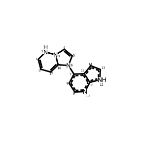 C1=CNN2C=CN(c3ccnc4[nH]ccc34)C2=C1